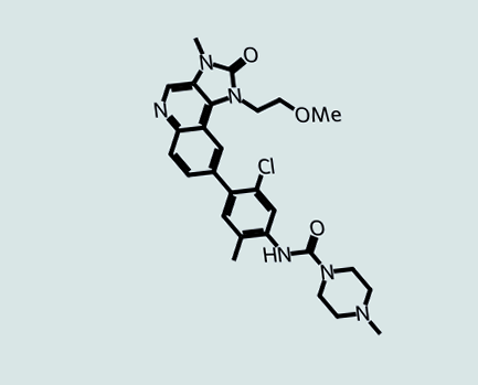 COCCn1c(=O)n(C)c2cnc3ccc(-c4cc(C)c(NC(=O)N5CCN(C)CC5)cc4Cl)cc3c21